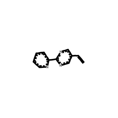 C=Cc1cnc(-c2ccccn2)nc1